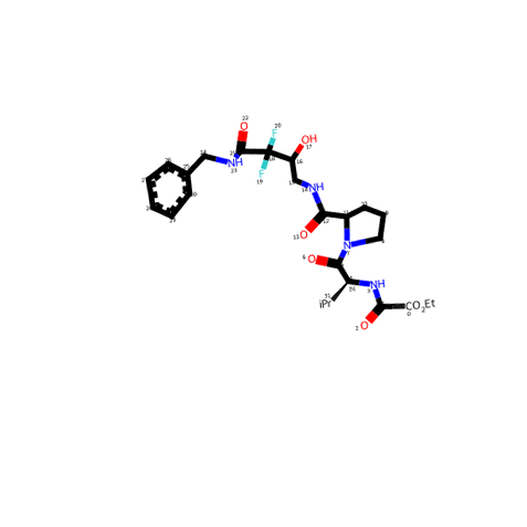 CCOC(=O)C(=O)N[C@H](C(=O)N1CCCC1C(=O)NCC(O)C(F)(F)C(=O)NCc1ccccc1)C(C)C